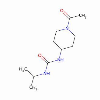 CC(=O)N1CCC(NC(=O)NC(C)C)CC1